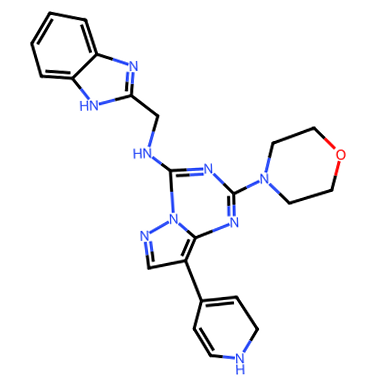 C1=CC(c2cnn3c(NCc4nc5ccccc5[nH]4)nc(N4CCOCC4)nc23)=CCN1